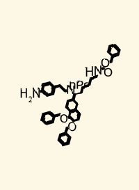 CCCN(CCc1ccc(N)cc1)[C@@H](CCCCCNC(=O)OCc1ccccc1)C1CCc2c(ccc(OCc3ccccc3)c2OCc2ccccc2)C1